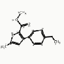 CCc1ccc(-c2cc(C)sc2C(=O)OC)cc1